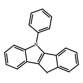 [C]1c2ccccc2-c2c1c1ccccc1n2-c1ccccc1